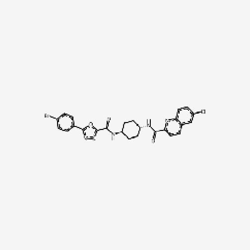 O=C(N[C@H]1CC[C@H](NC(=O)c2nnc(-c3ccc(Br)cc3)o2)CC1)c1ccc2cc(Cl)ccc2n1